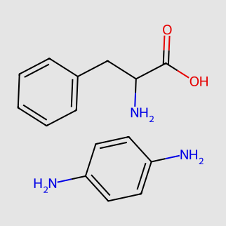 NC(Cc1ccccc1)C(=O)O.Nc1ccc(N)cc1